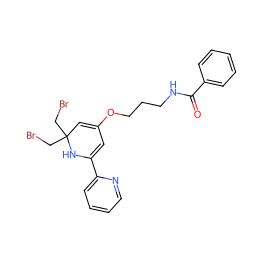 O=C(NCCCOC1=CC(CBr)(CBr)NC(c2ccccn2)=C1)c1ccccc1